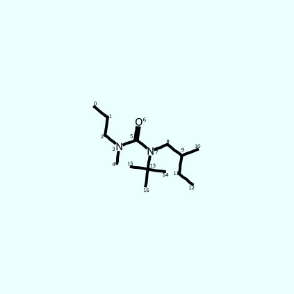 CCCN(C)C(=O)N(CC(C)CC)C(C)(C)C